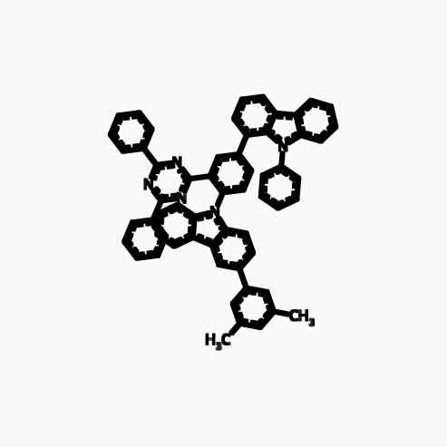 Cc1cc(C)cc(-c2ccc3c(c2)c2ccccc2n3-c2ccc(-c3cccc4c5ccccc5n(-c5ccccc5)c34)cc2-c2nc(-c3ccccc3)nc(-c3ccccc3)n2)c1